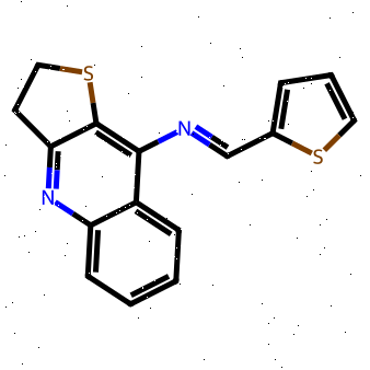 C(=Nc1c2c(nc3ccccc13)CCS2)c1cccs1